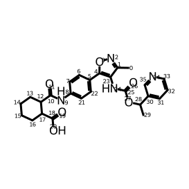 Cc1noc(-c2ccc(NC(=O)C3CCCCC3C(=O)O)cc2)c1NC(=O)OC(C)c1cccnc1